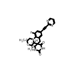 C[C@@H]1CN2c3c(F)cc(C#Cc4ncccn4)cc3CC3(C(=O)NC(=O)NC3=O)[C@H]2[C@H](C)O1